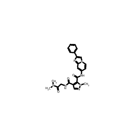 CN(C)C(=O)CNC(=O)c1cnn(C)c1C(=O)Nc1ccn2cc(-c3ccccc3)nc2c1